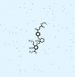 CCCc1c(OCC2(O)CCCCC2Sc2ccc(C(=O)CCC(=O)OC)cc2)ccc(C(C)=O)c1O